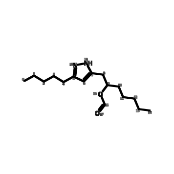 CCCCCc1cc(CC(CCCCC)OC=O)[nH]n1